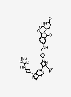 CC(C)(C)OC(=O)N[C@H]1C[C@H](n2ncc3cnc(-c4cn([C@H]5C[C@@H](CNc6ccc7c(c6)C(=O)N(C6CCC(=O)NC6=O)C7=O)C5)nc4C4CC4)cc32)C1